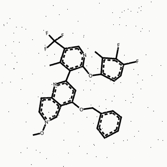 CO[n+]1ccc2nc(-c3c(Oc4ccc(F)c(F)c4C)ncc(C(F)(F)F)c3C)cc(OCc3ccccc3)c2c1